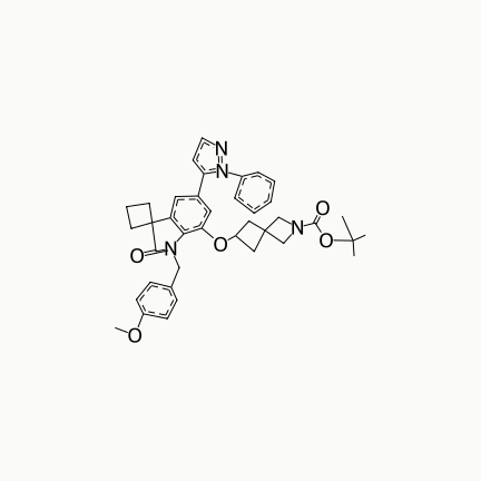 COc1ccc(CN2C(=O)C3(CCC3)c3cc(-c4ccnn4-c4ccccc4)cc(OC4CC5(C4)CN(C(=O)OC(C)(C)C)C5)c32)cc1